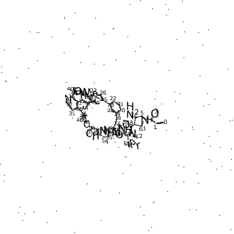 C=CC(=O)N1C[C@@H](N)[C@H](C(=O)N(C)[C@H](C(=O)N[C@H]2Cc3cccc(c3)-c3ccc4c(c3)c(c(-c3cccnc3[C@H](C)OC)n4CC)CC(C)(C)COC(=O)[C@@H]3CCCN(N3)C2=O)C(C)C)C1